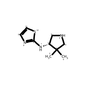 CC1(C)CNC[C@H]1Nc1nccs1